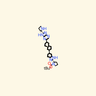 CC(C)(C)OC(=O)N1CCC[C@H]1c1nc2ccc(-c3ccc4cc(-c5cnc6nc([C@@H]7CCCN7)[nH]c6n5)ccc4c3)cc2[nH]1